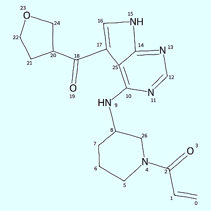 C=CC(=O)N1CCCC(Nc2ncnc3[nH]cc(C(=O)C4CCOC4)c23)C1